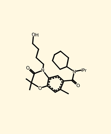 Cc1cc2c(cc1C(=O)N(C(C)C)C1CCCCC1)N(CCCCO)C(=O)C(C)(C)O2